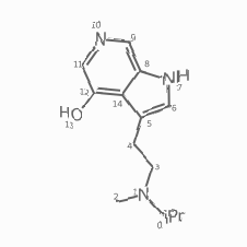 CC(C)N(C)CCc1c[nH]c2cncc(O)c12